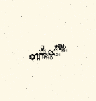 O=P(O)(O)CP(=O)(O)OC[C@H]1O[C@@H](n2cnc3c(NCc4ccccc4)nc(Cl)nc32)[C@@H](O)C1O